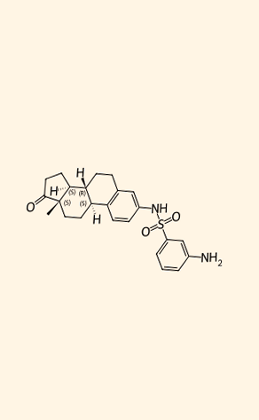 C[C@]12CC[C@@H]3c4ccc(NS(=O)(=O)c5cccc(N)c5)cc4CC[C@H]3[C@@H]1CCC2=O